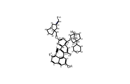 C#Cc1c(F)ccc2cc(O)cc(-c3c(F)cc4c(N5C[C@@H]6CC[C@](C7CCOCC7)(C5)N6)nc(OC[C@@]56CCCN5C/C(=C\F)C6)nc4c3F)c12